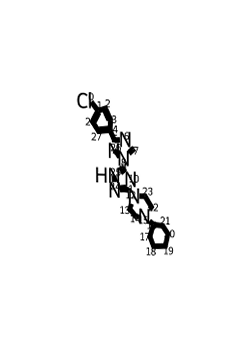 Clc1ccc(-c2ncn(-c3nc(N4CCN(C5CCCCC5)CC4)n[nH]3)n2)cc1